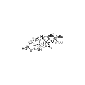 CCCC[Si](CCCC)(CCCC)OC1CC[C@H]2[C@@H]3CCC4=CC(O)CC[C@]4(CO)[C@@H]3CC[C@]12C